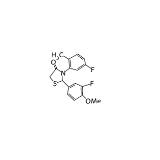 COc1ccc(C2SCC(=O)N2c2cc(F)ccc2C)cc1F